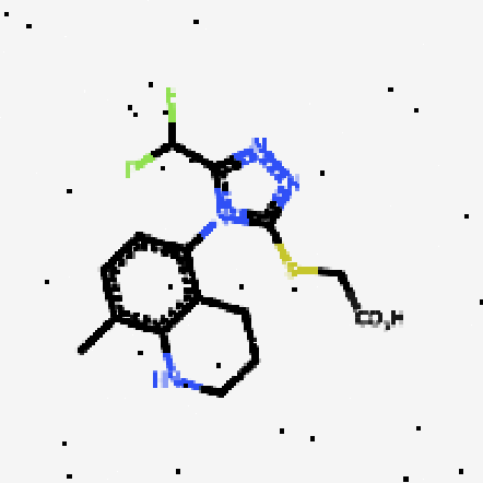 Cc1ccc(-n2c(SCC(=O)O)nnc2C(F)F)c2c1NCCC2